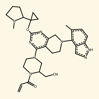 C=CC(=O)N1CCN(c2nc(OC3(C4CCCN4C)CC3)nc3c2CCN(c2c(C)ccc4[nH]ncc24)C3)CC1CC#N